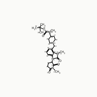 CN1C(=O)CCC(n2c(=O)n(C)c3c(CN4CCC(N(C)C(=O)OC(C)(C)C)CC4)cccc32)C1=O